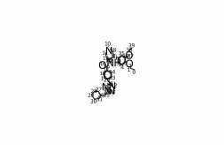 CCOc1ccc([C@H]2CN(C)CC[C@H]2NC(=O)c2ccc(-c3nnn(CC4CCCCC4)n3)cc2)cc1OCC